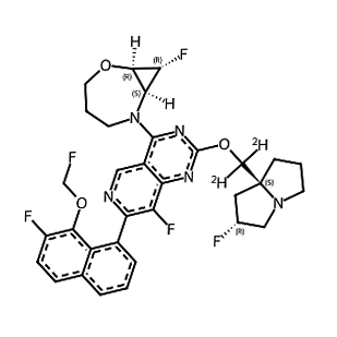 [2H]C([2H])(Oc1nc(N2CCCO[C@H]3[C@H](F)[C@H]32)c2cnc(-c3cccc4ccc(F)c(OCF)c34)c(F)c2n1)[C@@]12CCCN1C[C@H](F)C2